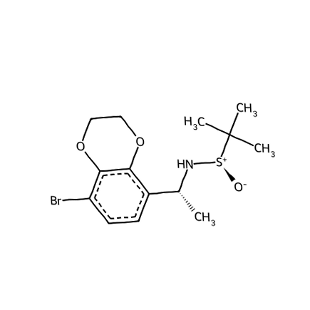 C[C@@H](N[S@+]([O-])C(C)(C)C)c1ccc(Br)c2c1OCCO2